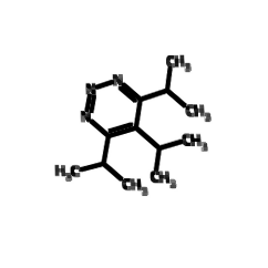 CC(C)c1nnnc(C(C)C)c1C(C)C